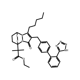 CCCCCc1c(Cc2ccc(-c3ccccc3-c3nnn[nH]3)cc2)c(=O)n2n1C1CCC2(C(C)(C)C(=O)OCC)CC1